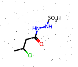 CC(Cl)CC(=O)NNS(=O)(=O)O